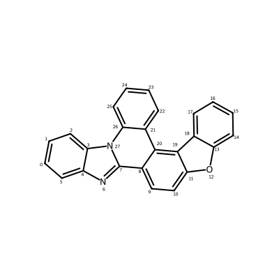 c1ccc2c(c1)nc1c3ccc4oc5ccccc5c4c3c3ccccc3n21